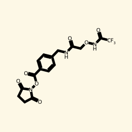 O=C(CONC(=O)C(F)(F)F)NCc1ccc(C(=O)ON2C(=O)CCC2=O)cc1